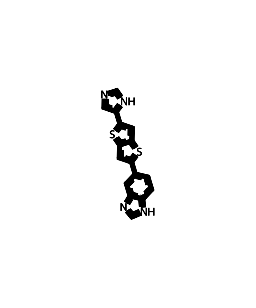 c1ncc(-c2cc3sc(-c4ccc5[nH]cnc5c4)cc3s2)[nH]1